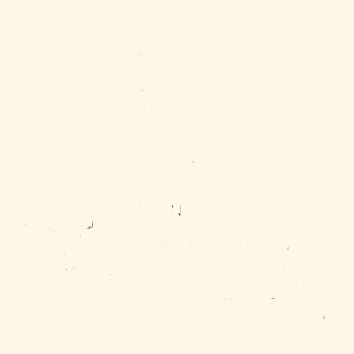 CC1(C)c2ccccc2-c2ccc(-c3ccc(N(c4ccc(-c5ccc6c7c(cccc57)-c5ccccc5-6)cc4)c4ccc(-c5cccc6c5oc5ccccc56)cc4)cc3)cc21